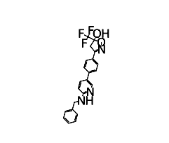 OC1(C(F)(F)F)CC(c2ccc(-c3ccc(NCc4ccccc4)nc3)cc2)=NO1